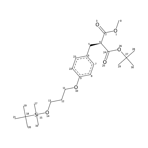 COC(=O)[C@H](Cc1ccc(OCCCO[Si](C)(C)C(C)(C)C)cc1)C(=O)OC(C)(C)C